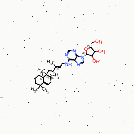 C/C(=C\CNc1ncnc2c1ncn2[C@@H]1O[C@H](CO)C(O)C1O)CC[C@@]1(C)[C@@H]2CCCC(C)(C)C2=CC[C@@H]1C